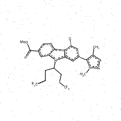 COC(=O)c1cnc2c3c(Cl)cc(-c4c(C)nnn4C)cc3n(C(CCC(F)(F)F)CCC(F)(F)F)c2c1